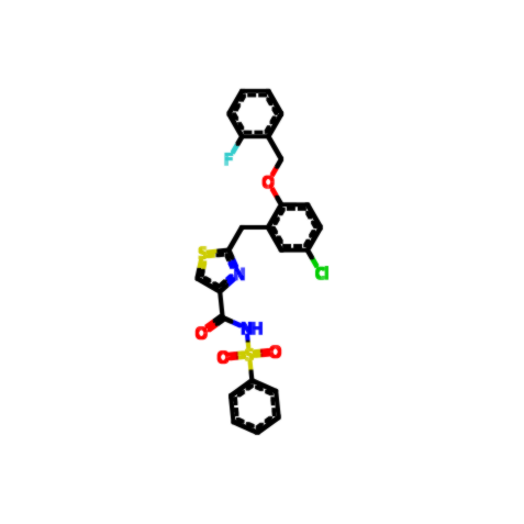 O=C(NS(=O)(=O)c1ccccc1)c1csc(Cc2cc(Cl)ccc2OCc2ccccc2F)n1